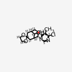 Cc1c(Cl)ncnc1OC1C2CNCC1CC1(C2)OCCO1